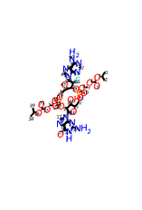 CC(C)OC(=O)OCOP1(=O)OCC2O[C@@H](n3cnc4c(=O)[nH]c(N)nc43)C(OP(=O)(OCOC(=O)OC(C)C)OCC3O[C@@H](n4cnc5c(N)ncnc54)C(F)C3O1)C2O